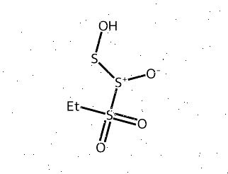 CCS(=O)(=O)[S+]([O-])SO